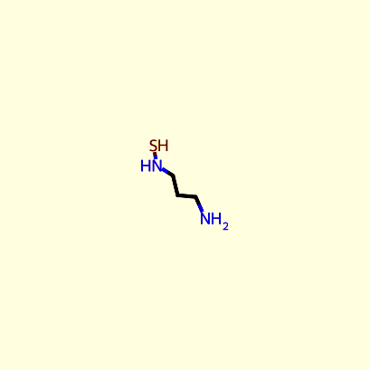 NCCCNS